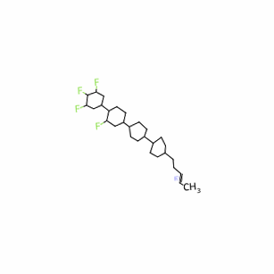 C/C=C/CCC1CCC(C2CCC(C3CCC(C4CC(F)C(F)C(F)C4)C(F)C3)CC2)CC1